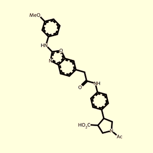 COc1cccc(Nc2nc3ccc(CC(=O)Nc4ccc(C5CN(C(C)=O)CC5C(=O)O)cc4)cc3o2)c1